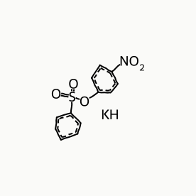 O=[N+]([O-])c1ccc(OS(=O)(=O)c2ccccc2)cc1.[KH]